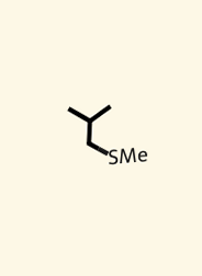 [CH2]SCC(C)C